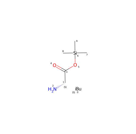 CC[C@H](C)[C@H](N)C(=O)O[Si](C)(C)C